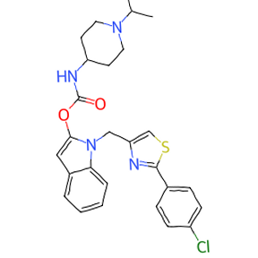 CC(C)N1CCC(NC(=O)Oc2cc3ccccc3n2Cc2csc(-c3ccc(Cl)cc3)n2)CC1